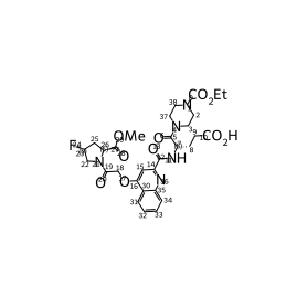 CCOC(=O)N1CCN(C(=O)[C@H](CCC(=O)O)NC(=O)c2cc(OCC(=O)N3C[C@@H](F)C[C@H]3C(=O)OC)c3ccccc3n2)CC1